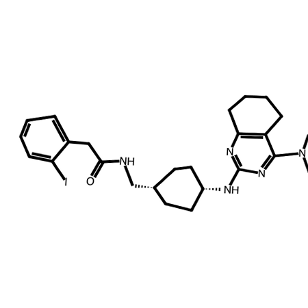 CN(C)c1nc(N[C@H]2CC[C@@H](CNC(=O)Cc3ccccc3I)CC2)nc2c1CCCC2